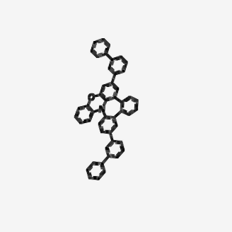 c1ccc(-c2cccc(-c3ccc4c(c3)-c3ccccc3-c3cc(-c5cccc(-c6ccccc6)c5)cc5c3N4c3ccccc3O5)c2)cc1